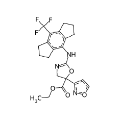 CCOC(=O)C1(c2ccon2)CN=C(Nc2c3c(c(C(F)(F)F)c4c2CCC4)CCC3)O1